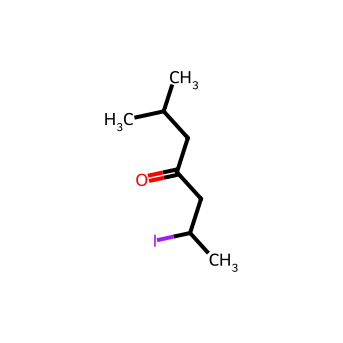 CC(C)CC(=O)CC(C)I